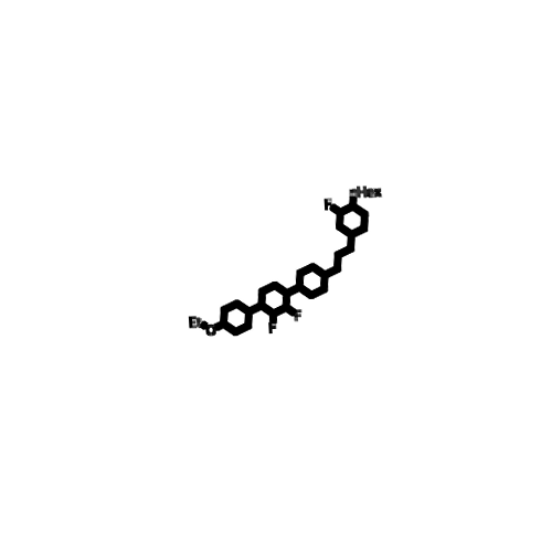 CCCCCCC1CCC(CCCC2CCC(C3CCC(C4CCC(OCC)CC4)C(F)C3F)CC2)CC1F